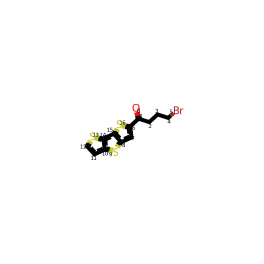 O=C(CCCBr)c1cc2sc3ccsc3c2s1